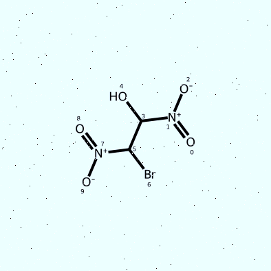 O=[N+]([O-])C(O)C(Br)[N+](=O)[O-]